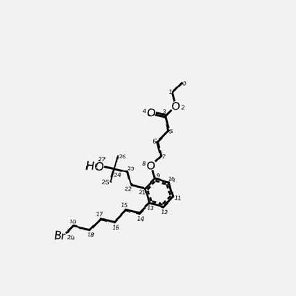 CCOC(=O)CCCOc1cccc(CCCCCCBr)c1CCC(C)(C)O